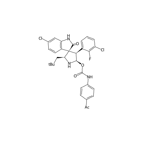 CC(=O)c1ccc(NC(=O)O[C@H]2N[C@@H](CC(C)(C)C)[C@@]3(C(=O)Nc4cc(Cl)ccc43)[C@H]2c2cccc(Cl)c2F)cc1